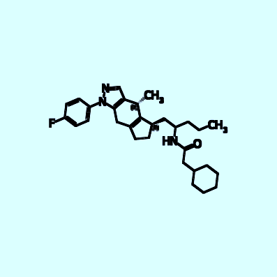 CCCC(C[C@H]1CCC2=C1[C@@H](C)c1cnn(-c3ccc(F)cc3)c1C2)NC(=O)CC1CCCCC1